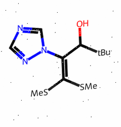 CSC(SC)=C(C(O)C(C)(C)C)n1cncn1